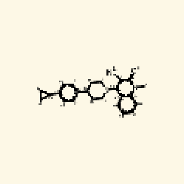 Cn1c(=O)c(C#N)c(N2CCC(c3ccc(C4CC4)cc3)CC2)c2ccccc21